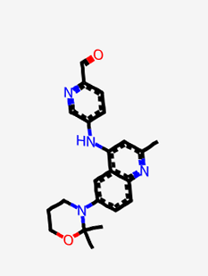 Cc1cc(Nc2ccc(C=O)nc2)c2cc(N3CCCOC3(C)C)ccc2n1